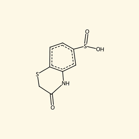 O=C1CSc2ccc(S(=O)O)cc2N1